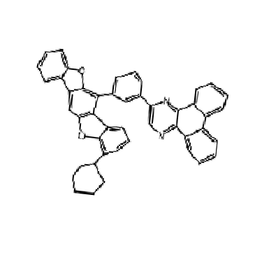 c1cc(-c2cnc3c4ccccc4c4ccccc4c3n2)cc(-c2c3oc4ccccc4c3cc3oc4c(C5CCCCC5)cccc4c23)c1